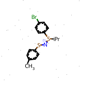 Cc1ccc(S/N=S(\c2ccc(Br)cc2)C(C)C)cc1